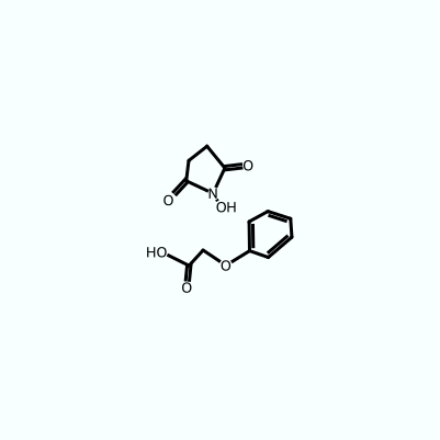 O=C(O)COc1ccccc1.O=C1CCC(=O)N1O